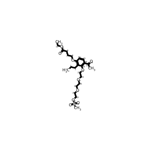 CCCc1c(OCCCC(=O)OCC)ccc(C(C)=O)c1OCCOCCOCCOS(C)(=O)=O